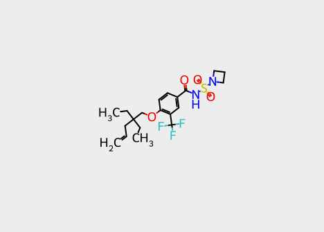 C=CCC(CC)(CC)COc1ccc(C(=O)NS(=O)(=O)N2CCC2)cc1C(F)(F)F